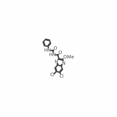 COc1nc2cc(Cl)c(Cl)cc2nc1C(=O)NC(=O)Nc1ccccc1